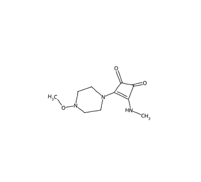 CNc1c(N2CCN(OC)CC2)c(=O)c1=O